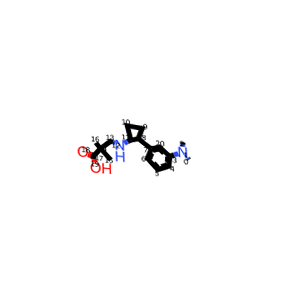 CN(C)c1cccc(C2CCC2NCC(C)(C)C(=O)O)c1